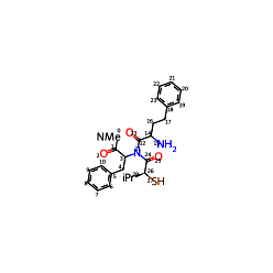 CNC(=O)C(Cc1ccccc1)N(C(=O)C(N)CCc1ccccc1)C(=O)[C@@H](S)C(C)C